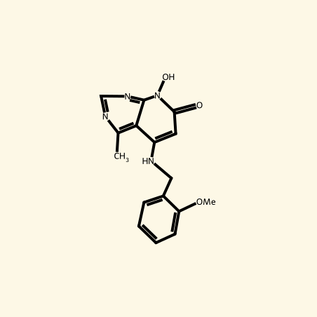 COc1ccccc1CNc1cc(=O)n(O)c2ncnc(C)c12